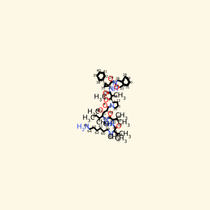 CCC(C)C(C(CC(=O)N1CCC[C@H]1C(OC)C(C)C(=O)N[C@@]1(C(=O)N2Cc3ccccc3CO2)C[C@@H]1c1ccccc1)OC)N(C)C(=O)C(NC(=O)C(C(C)C)N(C)CCCCCCN)C(C)C